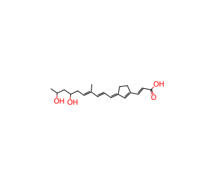 C/C(C=CC=C1C=C(/C=C/C(=O)O)CC1)=C\CC(O)CC(C)O